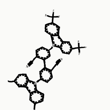 Cc1ccc2c(c1)c1cc(C)ccc1n2-c1ccc(C#N)c(-c2cc(-n3c4ccc(C(F)(F)F)cc4c4cc(C(F)(F)F)ccc43)ccc2C#N)c1